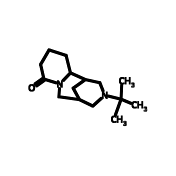 CC(C)(C)N1CC2CC(C1)C1CCCC(=O)N1C2